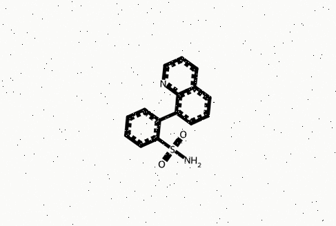 NS(=O)(=O)c1ccccc1-c1cccc2cccnc12